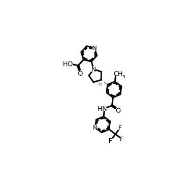 Cc1ccc(C(=O)Nc2cncc(C(F)(F)F)c2)cc1[C@@H]1CCN(c2cnccc2C(=O)O)C1